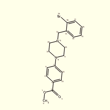 COC(=O)c1ccc(N2CCN(Cc3ccccc3Br)CC2)cc1